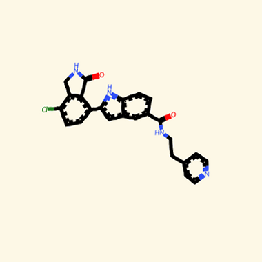 O=C(NCCc1ccncc1)c1ccc2[nH]c(-c3ccc(Cl)c4c3C(=O)NC4)cc2c1